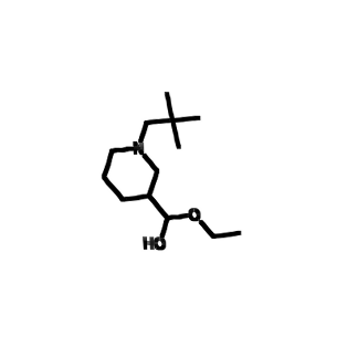 CCOC(O)C1CCCN(CC(C)(C)C)C1